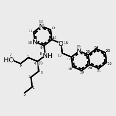 CCCC[C@@H](CCO)Nc1ncncc1OCc1ccc2ccccc2n1